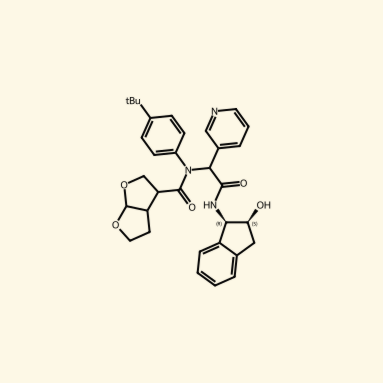 CC(C)(C)c1ccc(N(C(=O)C2COC3OCCC32)C(C(=O)N[C@@H]2c3ccccc3C[C@@H]2O)c2cccnc2)cc1